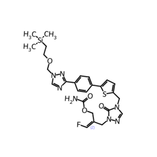 C[Si](C)(C)CCOCn1cnc(-c2ccc(-c3ccc(Cn4cnn(C/C(=C/F)COC(N)=O)c4=O)s3)cc2)n1